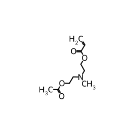 C=CC(=O)OCCN(C)CCOC(C)=O